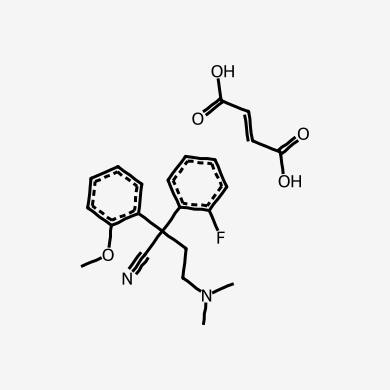 COc1ccccc1C(C#N)(CCN(C)C)c1ccccc1F.O=C(O)/C=C/C(=O)O